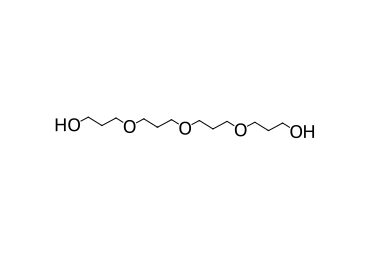 OCCCOCCCOCCCOCCCO